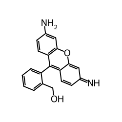 N=c1ccc2c(-c3ccccc3CO)c3ccc(N)cc3oc-2c1